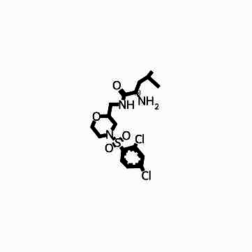 CC(C)C[C@H](N)C(=O)NCC1CN(S(=O)(=O)c2ccc(Cl)cc2Cl)CCO1